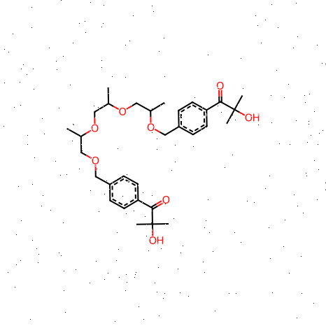 CC(COCc1ccc(C(=O)C(C)(C)O)cc1)OCC(C)OCC(C)OCc1ccc(C(=O)C(C)(C)O)cc1